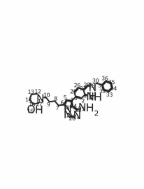 N=C1C=C(c2cc(CCCCN3CCC[C@@H](O)C3)n3ncnc(N)c23)C=C/C1=C/NCc1ccccc1